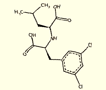 CC(C)C[C@H](N[C@@H](Cc1cc(Cl)cc(Cl)c1)C(=O)O)C(=O)O